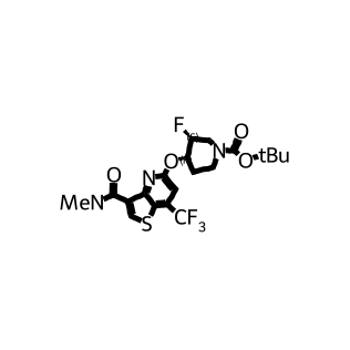 CNC(=O)c1csc2c(C(F)(F)F)cc(O[C@@H]3CCN(C(=O)OC(C)(C)C)C[C@@H]3F)nc12